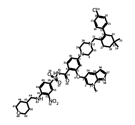 [CH2]n1cc(Oc2cc(N3CCN(CC4=C(c5ccc(Cl)cc5)CC(C)(C)CC4)CC3)ccc2C(=O)NS(=O)(=O)c2ccc(NCC3CCOCC3)c([N+](=O)[O-])c2)cc2ccnc1-2